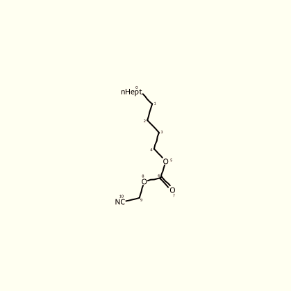 CCCCCCCCCCCOC(=O)OCC#N